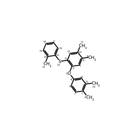 Cc1ccc(Oc2cc(C)c(C)cc2Sc2ccccc2C)cc1C